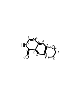 O=c1[nH]cnc2cc3c(cc12)OCCO3